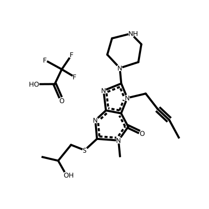 CC#CCn1c(N2CCNCC2)nc2nc(SCC(C)O)n(C)c(=O)c21.O=C(O)C(F)(F)F